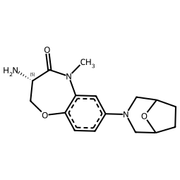 CN1C(=O)[C@@H](N)COc2ccc(N3CC4CCC(C3)O4)cc21